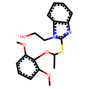 COc1cccc(OC)c1OC(C)Sc1nc2ccccc2n1CCO